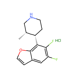 C[C@@H]1CNCC[C@@H]1c1c(F)c(F)cc2ccoc12.Cl